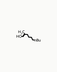 CCCCCCCCC(C)=CO